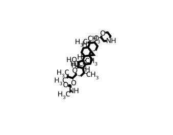 CNC(=O)O[C@H](C(C)C)[C@H]1C[C@@H](C)[C@H]2[C@H](O1)[C@H](O)[C@@]1(C)[C@@H]3CC[C@H]4C(C)(C)[C@@H](O[C@H]5CNCCO5)CC[C@@]45CC35CC[C@]21C